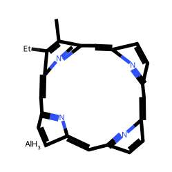 CCC1=C(C)C2=NC1=CC1=NC(=CC3=NC(=CC4=NC(=C2)C=C4)C=C3)C=C1.[AlH3]